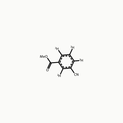 [2H]c1c([2H])c(C#N)c([2H])c(C(=O)OC)c1[2H]